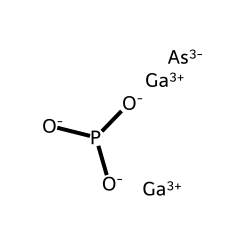 [As-3].[Ga+3].[Ga+3].[O-]P([O-])[O-]